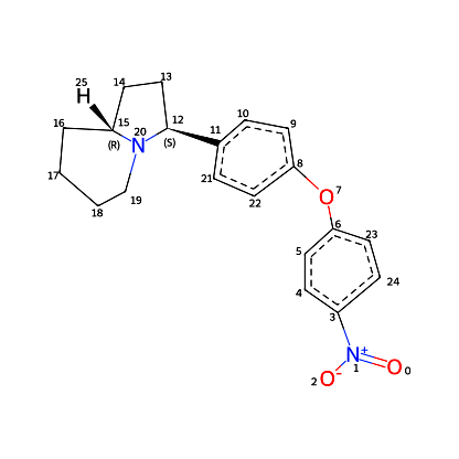 O=[N+]([O-])c1ccc(Oc2ccc([C@@H]3CC[C@H]4CCCCN43)cc2)cc1